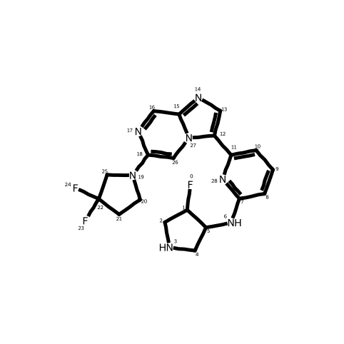 FC1CNCC1Nc1cccc(-c2cnc3cnc(N4CCC(F)(F)C4)cn23)n1